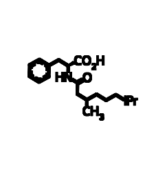 CC(C)CCCC(C)CC(=O)N[C@@H](Cc1ccccc1)C(=O)O